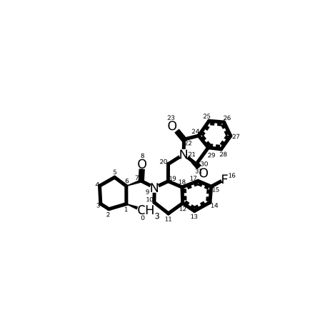 C[C@H]1CCCC[C@H]1C(=O)N1CCc2ccc(F)cc2C1CN1C(=O)c2ccccc2C1=O